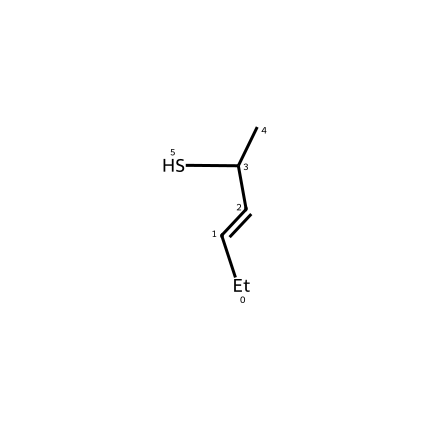 CCC=CC(C)S